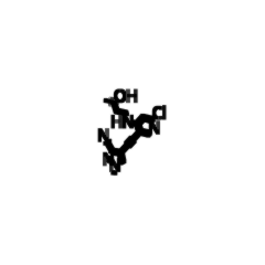 C[C@@H](O)CCNc1cc(Cl)ncc1C#Cc1cn(C)nc1C#N